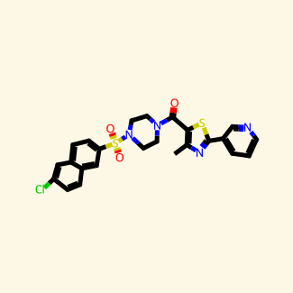 Cc1nc(-c2cccnc2)sc1C(=O)N1CCN(S(=O)(=O)c2ccc3cc(Cl)ccc3c2)CC1